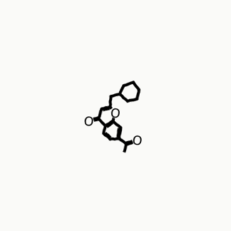 CC(=O)c1ccc2c(=O)cc(CC3CCCCC3)oc2c1